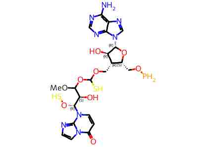 COC(OC(S)OC[C@@H]1[C@@H](O)[C@H](n2cnc3c(N)ncnc32)O[C@@H]1COP)[C@@H](O)[C@@H](OS)n1ccc(=O)n2ccnc12